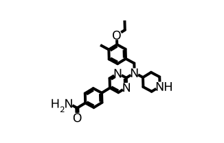 CCOc1cc(CN(c2ncc(-c3ccc(C(N)=O)cc3)cn2)C2CCNCC2)ccc1C